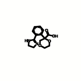 O=C(O)C1(c2ccccc2C2=NCCN2)COCCO1